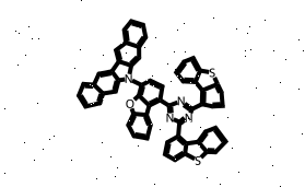 c1ccc2cc3c(cc2c1)c1cc2ccccc2cc1n3-c1ccc(-c2nc(-c3cccc4sc5ccccc5c34)nc(-c3cccc4sc5ccccc5c34)n2)c2c1oc1ccccc12